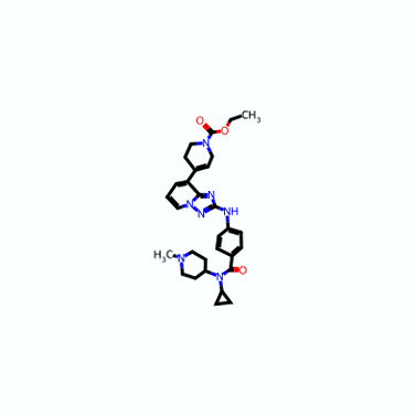 CCOC(=O)N1CC=C(c2cccn3nc(Nc4ccc(C(=O)N(C5CC5)C5CCN(C)CC5)cc4)nc23)CC1